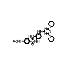 CC(=O)Nc1ccc(S(=O)(=O)Nc2ccc(Nc3nc(N4CCCCC4)nc(N4CCCCC4)n3)cc2O)cc1